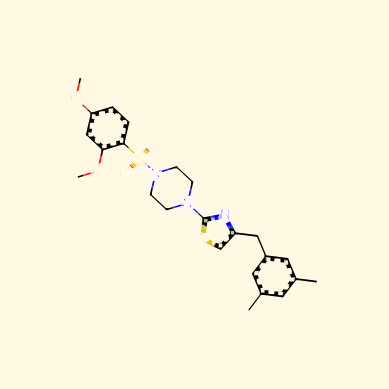 COc1ccc(S(=O)(=O)N2CCN(c3nc(Cc4cc(C)cc(C)c4)cs3)CC2)c(OC)c1